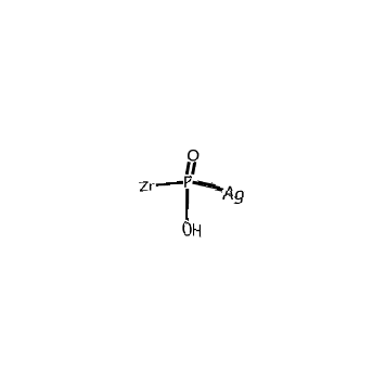 O=[P](O)([Zr])[Ag]